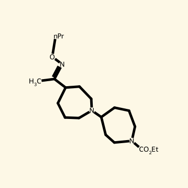 CCCO/N=C(\C)C1CCCN(C2CCCN(C(=O)OCC)CC2)CC1